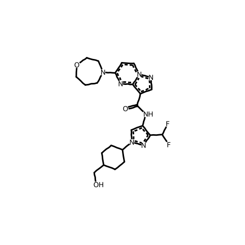 O=C(Nc1cn(C2CCC(CO)CC2)nc1C(F)F)c1cnn2ccc(N3CCCOCC3)nc12